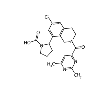 Cc1cc(C(=O)N2CCc3cc(Cl)cc(C4CCCN4C(=O)O)c3C2)nc(C)n1